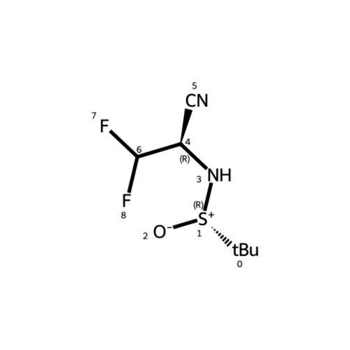 CC(C)(C)[S@+]([O-])N[C@H](C#N)C(F)F